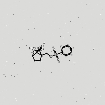 CC1(C)C2CCC1(COS(=O)(=O)c1ccccc1)C(=O)C2